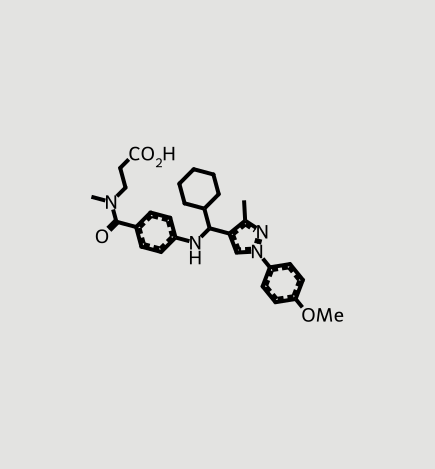 COc1ccc(-n2cc(C(Nc3ccc(C(=O)N(C)CCC(=O)O)cc3)C3CCCCC3)c(C)n2)cc1